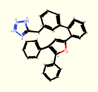 c1ccc(-c2cc(-c3ccccc3-c3cccc(Cc4nnn[nH]4)c3)oc2-c2ccccc2)cc1